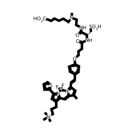 CC1=CC(/C=C/c2ccc(OCCCC(=O)N[C@@H](CS(=O)(=O)O)C(=O)NCCN(C)CCCCCC(=O)O)cc2)=[N+]2C1=Cc1c(CCC[N+](C)(C)C)cc(-c3cccs3)n1[B-]2(F)F